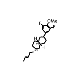 CC=CCC[C@@H]1CC[C@@H]2CC(c3cc(F)c(OC)c(F)c3)CC[C@@H]2C1